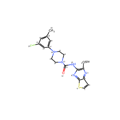 COc1nc2ccsc2nc1NC(=O)N1CCN(c2cc(C)cc(F)c2)CC1